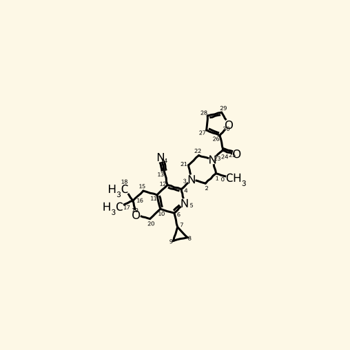 CC1CN(c2nc(C3CC3)c3c(c2C#N)CC(C)(C)OC3)CCN1C(=O)c1ccco1